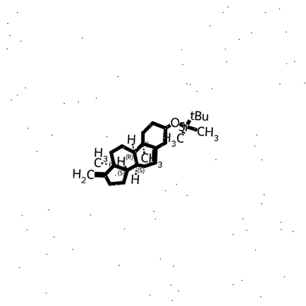 C=C1CC[C@H]2[C@@H]3CC=C4CC(O[Si](C)(C)C(C)(C)C)CC[C@]4(C)[C@@H]3CC[C@]12C